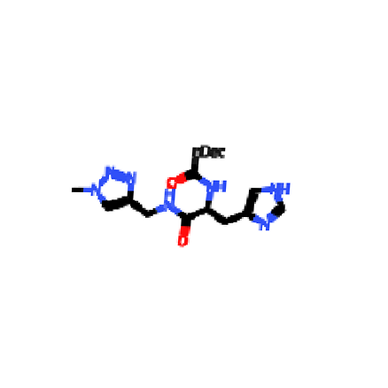 CCCCCCCCCCC(=O)NC(Cc1c[nH]cn1)C(=O)NCc1cn(C)nn1